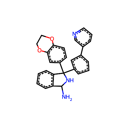 NC1NC(c2cccc(-c3cccnc3)c2)(c2ccc3c(c2)OCCO3)c2ccccc21